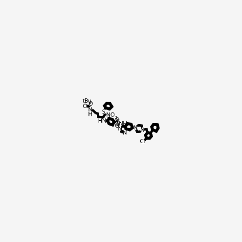 CC(C)(C)OC(=O)NCCCCC(CSc1ccccc1)Nc1ccc(S(=O)(=O)Nc2ncnc3cc(N4CCN(Cc5cc(Cl)ccc5-c5ccccc5)CC4)ccc23)cc1[N+](=O)[O-]